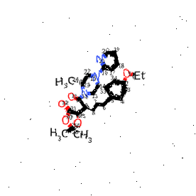 CCOc1ccc(CCC[C@H](C(=O)N2CCN(c3ccccn3)C[C@H]2C)[C@@H]2OC(C)(C)OC2=O)cc1